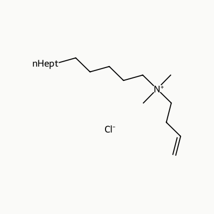 C=CCC[N+](C)(C)CCCCCCCCCCCC.[Cl-]